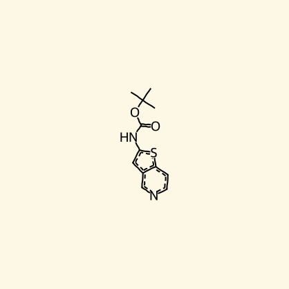 CC(C)(C)OC(=O)Nc1cc2cnccc2s1